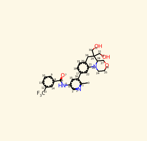 Cc1ncc(NC(=O)c2cccc(C(F)(F)F)c2)cc1-c1ccc2c(c1)N1CCOCC1C(CO)(CO)C2